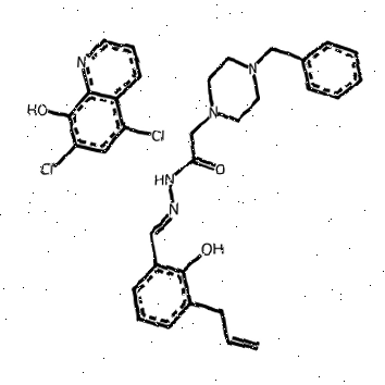 C=CCc1cccc(C=NNC(=O)CN2CCN(Cc3ccccc3)CC2)c1O.Oc1c(Cl)cc(Cl)c2cccnc12